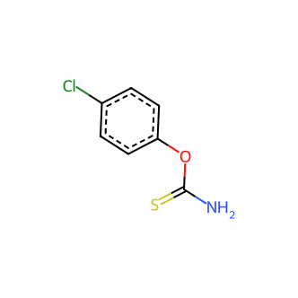 NC(=S)Oc1ccc(Cl)cc1